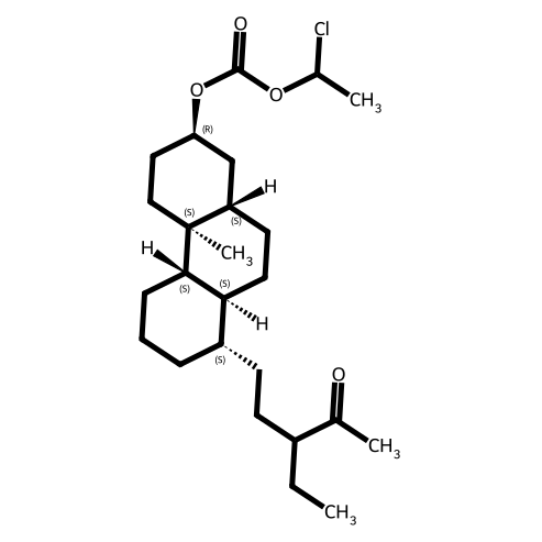 CCC(CC[C@@H]1CCC[C@H]2[C@H]1CC[C@H]1C[C@H](OC(=O)OC(C)Cl)CC[C@@]12C)C(C)=O